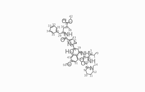 CC[C@H](C)[C@H](NC(=O)[C@H]1CCCCN1C)C(=O)N[C@H](C[C@@H](O)c1nc(C(=O)NC(Cc2ccccc2)CC(C)C(=O)OC)cs1)c1ccc(OC)cc1